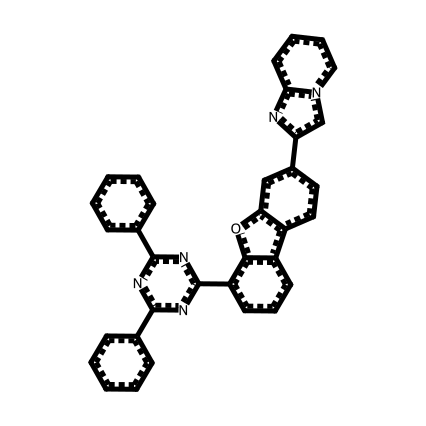 c1ccc(-c2nc(-c3ccccc3)nc(-c3cccc4c3oc3cc(-c5cn6ccccc6n5)ccc34)n2)cc1